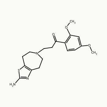 COc1ccc(C(=O)CCN2CCc3nc(N)sc3CC2)c(OC)c1